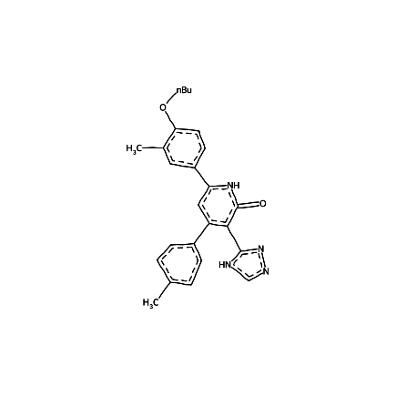 CCCCOc1ccc(-c2cc(-c3ccc(C)cc3)c(-c3nnc[nH]3)c(=O)[nH]2)cc1C